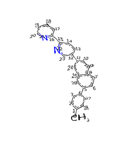 Cc1ccc(-c2ccc3ccc(-c4ccc(-c5ccccn5)nc4)cc3c2)cc1